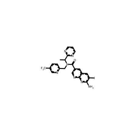 CC(c1ncccn1)N(Cc1ccc(C(F)(F)F)cn1)C(=O)c1cnc2nc(N)c(I)cc2c1